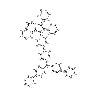 c1ccc(-c2ccc(N(c3ccc(-c4ccccc4)cc3)c3ccc(-c4ccc(-n5c(-c6ccccc6)c(-c6ccccc6)c6cnc7ccccc7c65)cc4)cc3)cc2)cc1